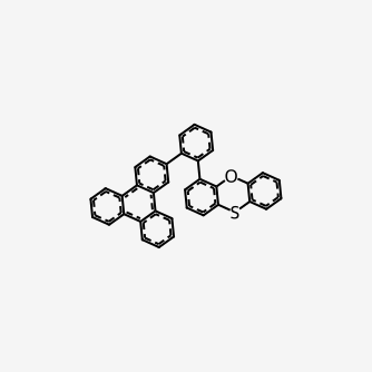 c1ccc2c(c1)Oc1c(cccc1-c1ccccc1-c1ccc3c4ccccc4c4ccccc4c3c1)S2